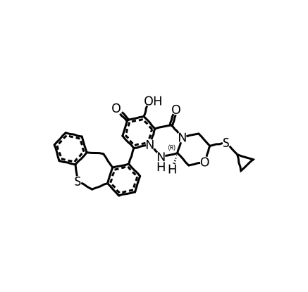 O=C1c2c(O)c(=O)cc(-c3cccc4c3Cc3ccccc3SC4)n2N[C@@H]2COC(SC3CC3)CN12